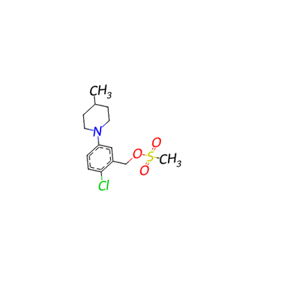 CC1CCN(c2ccc(Cl)c(COS(C)(=O)=O)c2)CC1